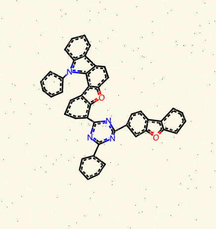 c1ccc(-c2nc(-c3ccc4c(c3)oc3ccccc34)nc(-c3cccc4c3oc3ccc5c6ccccc6n(-c6ccccc6)c5c34)n2)cc1